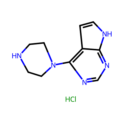 Cl.c1nc(N2CCNCC2)c2cc[nH]c2n1